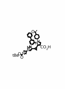 C[C@H](Oc1cccc(-c2cccc(-n3ncc(C(=O)O)c3C3CC3c3cn(C4CN(C(=O)OC(C)(C)C)C4)nn3)c2)c1)C1CCCCC1